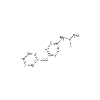 CCCCCCCCC(C)Nc1ccc(Nc2ccccc2)cc1